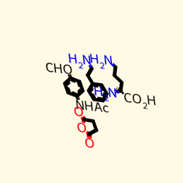 CC(=O)Nc1ccc(C=O)cc1.NCCC[C@H](N)C(=O)O.NCCc1ccccc1.O=C1CCC(=O)O1